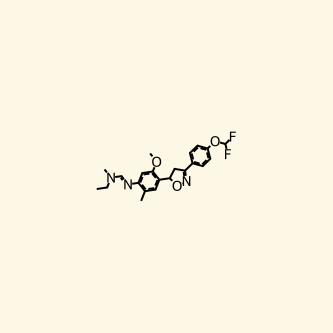 CCN(C)C=Nc1cc(OC)c(C2CC(c3ccc(OC(F)F)cc3)=NO2)cc1C